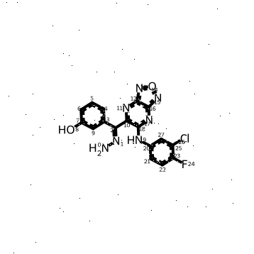 NN=C(c1cccc(O)c1)c1nc2nonc2nc1Nc1ccc(F)c(Cl)c1